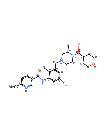 COc1ccc(C(=O)Nc2cc(Cl)cc(CN3CCN(C(=O)C4CCOCC4)C(C)C3)c2C)cn1